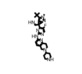 Cn1nc2c(c1C(C)(C)C)C2(C=N)c1nc(Nc2ccc3c(n2)CCN(C2CCNCC2)C3)ncc1F